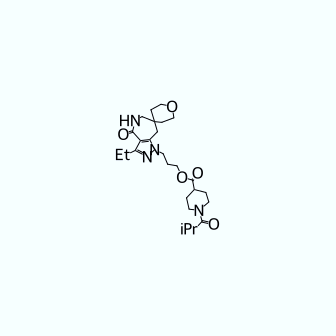 CCc1nn(CCCOC(=O)C2CCN(C(=O)C(C)C)CC2)c2c1C(=O)NCC1(CCOCC1)C2